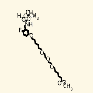 COC(=O)CCCCCOCCOCCOCCCCCCOc1ccc(F)c(CNC(=O)OC(C)(C)C)c1